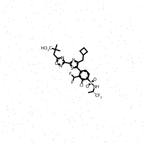 C[C@H](NS(=O)(=O)c1ccc(-c2sc(-c3noc(CC(C)(C)C(=O)O)n3)nc2CC2CCC2)c(C(F)F)c1Cl)C(F)(F)F